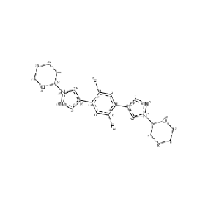 Fc1cc(-c2cnn(C3CCCCO3)c2)c(F)cc1-c1cnn(C2CCCCO2)c1